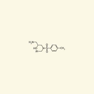 Cc1ccc(S(=O)(=O)N(CC(C)C)CC(O)CN)cc1